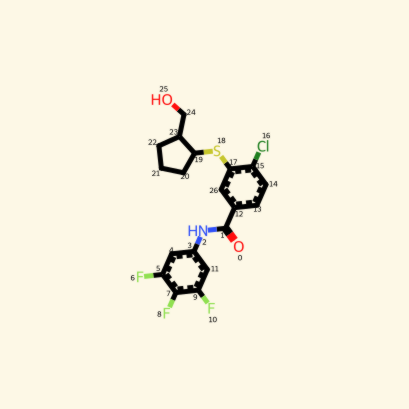 O=C(Nc1cc(F)c(F)c(F)c1)c1ccc(Cl)c(SC2CCCC2CO)c1